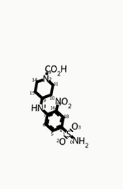 NS(=O)(=O)c1ccc(NC2CCN(C(=O)O)CC2)c([N+](=O)[O-])c1